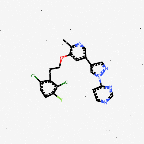 Cc1ncc(-c2cnn(-c3ccncn3)c2)cc1OCCc1c(Cl)ccc(F)c1Cl